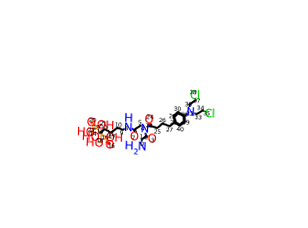 NCC(=O)N(CC(=O)NCCCCC(O)(P(=O)(O)O)P(=O)(O)O)C(=O)CCCc1ccc(N(CCCl)CCCl)cc1